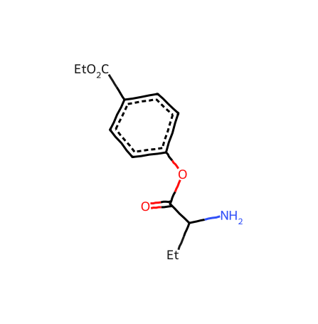 CCOC(=O)c1ccc(OC(=O)C(N)CC)cc1